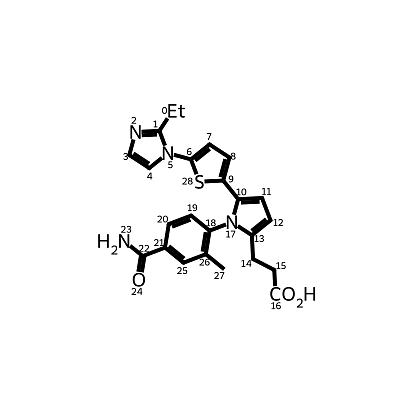 CCc1nccn1-c1ccc(-c2ccc(CCC(=O)O)n2-c2ccc(C(N)=O)cc2C)s1